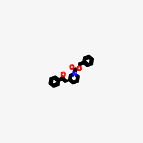 O=C(C[C@@H]1CCCN(C(=O)OCc2ccccc2)C1)c1ccccc1